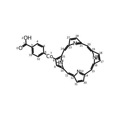 O=C(O)c1cc[c]([Co][c]2cc3cc4nc(cc5ccc(cc6nc(cc2[nH]3)C=C6)[nH]5)C=C4)cc1